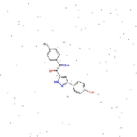 CC(C)(C)c1ccc(C(=N)C(=O)c2cc(-c3ccc(O)cc3)n[nH]2)cc1